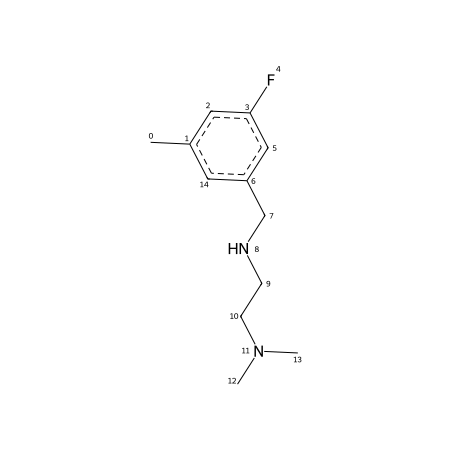 Cc1cc(F)cc(CNCCN(C)C)c1